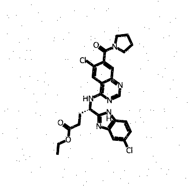 CCOC(=O)CC[C@H](Nc1ncnc2cc(C(=O)N3CCCC3)c(Cl)cc12)c1nc2cc(Cl)ccc2[nH]1